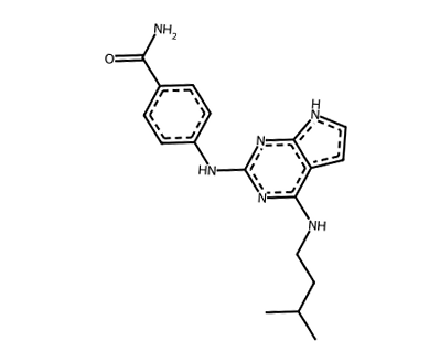 CC(C)CCNc1nc(Nc2ccc(C(N)=O)cc2)nc2[nH]ccc12